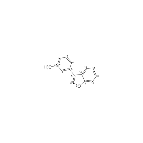 C[n+]1cccc(-c2noc3ccccc23)c1